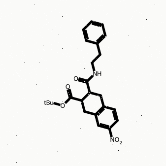 CC(C)(C)OC(=O)C1Cc2cc([N+](=O)[O-])ccc2CC1C(=O)NCCc1ccccc1